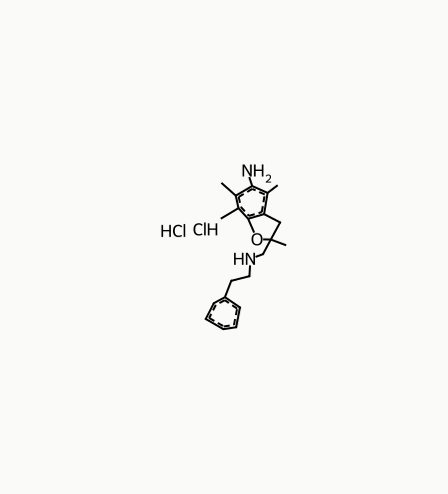 Cc1c(C)c2c(c(C)c1N)CC(C)(CNCCc1ccccc1)O2.Cl.Cl